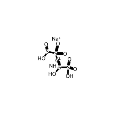 N.O=S(O)S(=O)(=O)O.O=S(O)S(=O)(=O)[O-].[Na+]